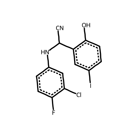 N#CC(Nc1ccc(F)c(Cl)c1)c1cc(I)ccc1O